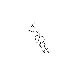 CC1CN(C(=O)[C@@H]2CC[C@H]3c4ccc(C(F)(C(F)(F)F)C(F)(F)F)cc4CC[C@@H]23)CC(=O)N1